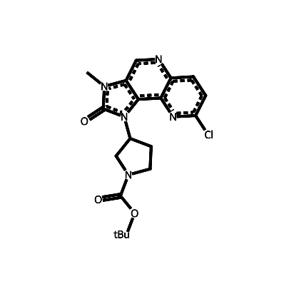 Cn1c(=O)n(C2CCN(C(=O)OC(C)(C)C)C2)c2c3nc(Cl)ccc3ncc21